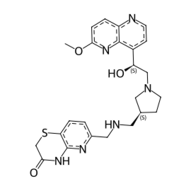 COc1ccc2nccc([C@H](O)CN3CC[C@@H](CNCc4ccc5c(n4)NC(=O)CS5)C3)c2n1